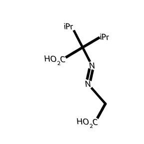 CC(C)C(/N=N/CC(=O)O)(C(=O)O)C(C)C